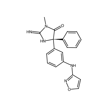 CN1C(=N)N[C@@](c2ccccc2)(c2cccc(Nc3ccon3)c2)C1=O